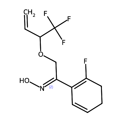 C=CC(OC/C(=N\O)C1=C(F)CCC=C1)C(F)(F)F